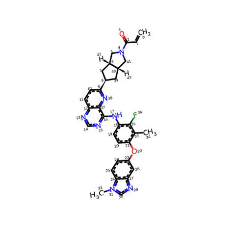 C=CC(=O)N1C[C@H]2C[C@H](c3ccc4ncnc(Nc5ccc(Oc6ccc7c(c6)ncn7C)c(C)c5F)c4n3)C[C@H]2C1